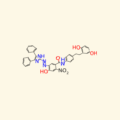 O=C(Nc1ccc(CCc2cc(O)ccc2O)cc1)c1cc(N=Nc2nc(-c3ccccc3)c(-c3ccccc3)[nH]2)c(O)cc1[N+](=O)[O-]